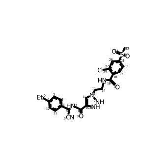 CCc1ccc(C(C#N)NC(=O)C2=CN(CCNC(=O)c3ccc(S(C)(=O)=O)cc3Cl)NN2)cc1